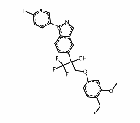 CCc1ccc(OCC(O)(c2ccc3c(cnn3-c3ccc(F)cc3)c2)C(F)(F)F)cc1OC